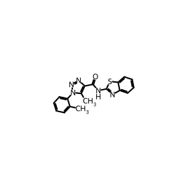 Cc1ccccc1-n1nnc(C(=O)Nc2nc3ccccc3s2)c1C